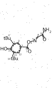 CC(C)(C)c1cc(C(=O)ON=CC(N)=O)cc(C(C)(C)C)c1O